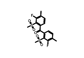 Cc1ccc(C(=O)c2ccc(C)c(F)c2S(C)(=O)=O)c(S(C)(=O)=O)c1F